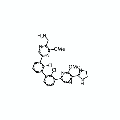 COc1nc(-c2cccc(-c3cccc(-c4cnc(C5=NCCN5)c(OC)n4)c3Cl)c2Cl)cnc1CN